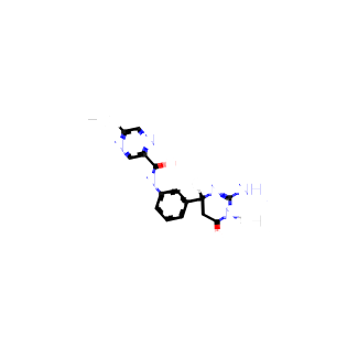 Cc1cnc(C(=O)Nc2cccc(C3(C)CC(=O)N(C)C(N)=N3)c2)cn1